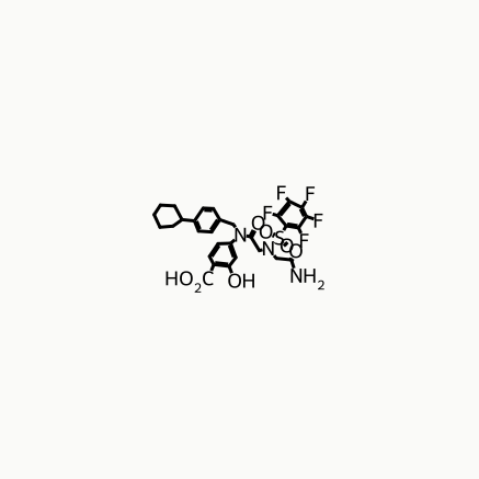 NC(=O)CN(CC(=O)N(Cc1ccc(C2CCCCC2)cc1)c1ccc(C(=O)O)c(O)c1)S(=O)(=O)c1c(F)c(F)c(F)c(F)c1F